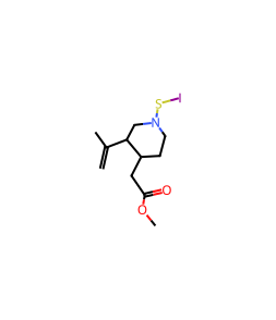 C=C(C)C1CN(SI)CCC1CC(=O)OC